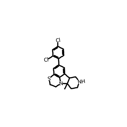 CC12CCNCC1c1cc(-c3ccc(Cl)cc3Cl)cc3c1N2CCS3